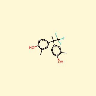 Cc1cc(C(C)(c2ccc(O)c(C)c2)C(F)(F)F)ccc1O